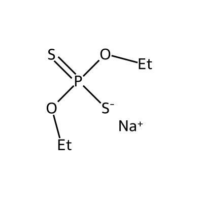 CCOP(=S)([S-])OCC.[Na+]